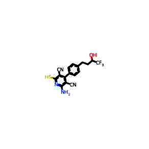 N#Cc1c(N)nc(S)c(C#N)c1-c1ccc(CCC(O)C(F)(F)F)cc1